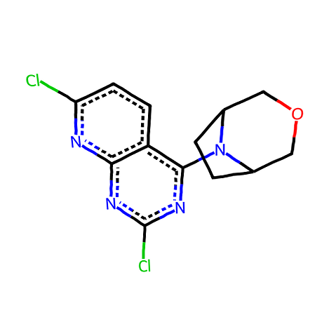 Clc1ccc2c(N3C4CCC3COC4)nc(Cl)nc2n1